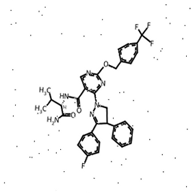 CC(C)[C@H](NC(=O)c1cnc(OCc2ccc(C(F)(F)F)cc2)nc1N1CC(c2ccccc2)C(c2ccc(F)cc2)=N1)C(N)=O